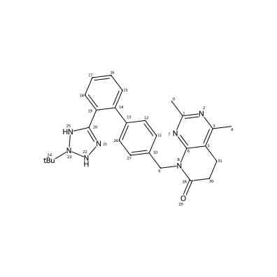 Cc1nc(C)c2c(n1)N(Cc1ccc(-c3ccccc3C3=NNN(C(C)(C)C)N3)cc1)C(=O)CC2